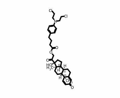 C[C@@]12C=CC(=O)C=C1CC[C@H]1[C@H]2CC[C@]2(C)[C@@H]1CC[C@@]2(O)C(=O)COC(=O)CCCc1ccc(N(CCCl)CCCl)cc1